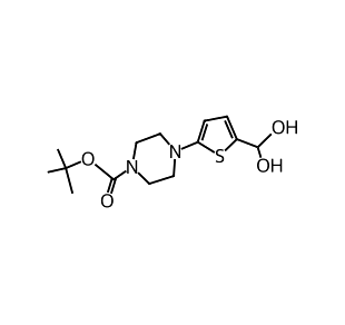 CC(C)(C)OC(=O)N1CCN(c2ccc(C(O)O)s2)CC1